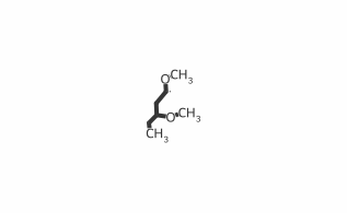 CCC(C[CH]OC)OC